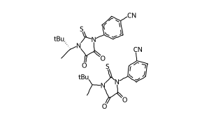 CC(N1C(=O)C(=O)N(c2cccc(C#N)c2)C1=S)C(C)(C)C.C[C@@H](N1C(=O)C(=O)N(c2ccc(C#N)cc2)C1=S)C(C)(C)C